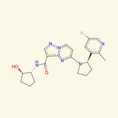 Cc1ncc(F)cc1[C@H]1CCCN1c1ccn2ncc(C(=O)N[C@@H]3CCC[C@H]3O)c2n1